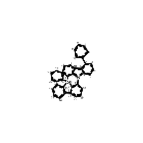 c1ccc(-c2cccc3c2c2cccc4c2n3-c2cccc3c2[Si]4(c2ccccc2)c2ccccc2-3)cc1